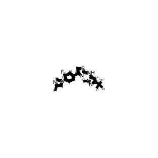 Cc1cn(-c2ccc(-c3csc(Nc4cc(C(C)(C)C)nn4C)n3)cc2F)cn1